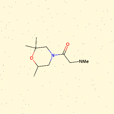 CNCC(=O)N1CC(C)OC(C)(C)C1